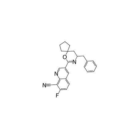 N#Cc1c(F)ccc2cc(C3=NC(Cc4ccccc4)CC4(CCCC4)O3)cnc12